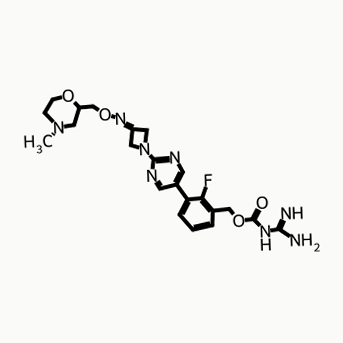 CN1CCOC(CON=C2CN(c3ncc(-c4cccc(COC(=O)NC(=N)N)c4F)cn3)C2)C1